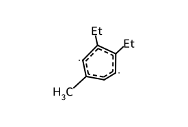 CCc1[c]cc(C)[c]c1CC